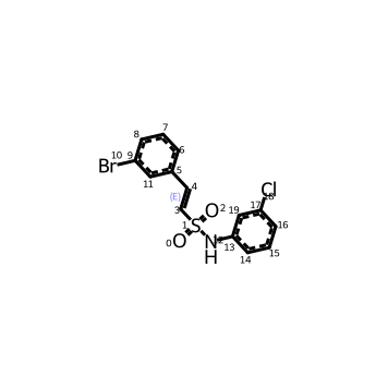 O=S(=O)(/C=C/c1cccc(Br)c1)Nc1cccc(Cl)c1